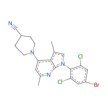 Cc1cc(N2CCC(C#N)CC2)c2c(C)cn(-c3c(Cl)cc(Br)cc3Cl)c2n1